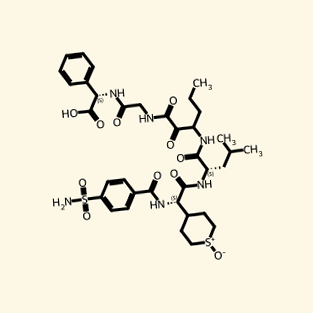 CCCC(NC(=O)[C@H](CC(C)C)NC(=O)[C@@H](NC(=O)c1ccc(S(N)(=O)=O)cc1)C1CC[S+]([O-])CC1)C(=O)C(=O)NCC(=O)N[C@H](C(=O)O)c1ccccc1